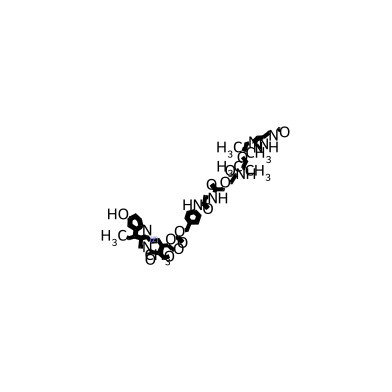 CCc1c2c(nc3ccc(O)cc13)/C(=C/C1=C(C=O)COC(=O)C1OC(=O)OCc1ccc(NC(=O)CNC(=O)COCC(=O)NC(C)(C)COC(C)(C)Cn3cc(CNC=O)nn3)cc1)N(C)C2